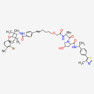 Cc1ncsc1-c1ccc([C@H](C)NC(=O)C2C[C@@H](O)CN2C(=O)[C@@H](NC(=O)COCCCCC#Cc2ccc(C(=O)N[C@H]3C(C)(C)[C@H](Oc4ccc(C#N)c(Br)c4)C3(C)C)cc2)C(C)(C)C)cc1